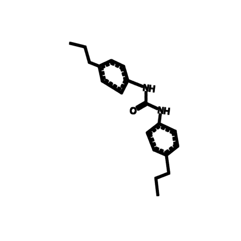 CCCc1ccc(NC(=O)Nc2ccc(CCC)cc2)cc1